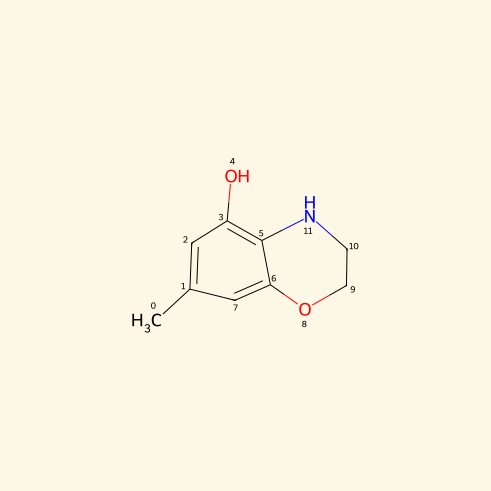 Cc1cc(O)c2c(c1)OCCN2